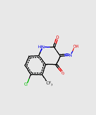 O=C1Nc2ccc(Cl)c(C(F)(F)F)c2C(=O)/C1=N/O